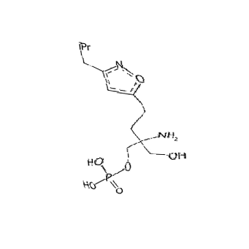 CC(C)Cc1cc(CCC(N)(CO)COP(=O)(O)O)on1